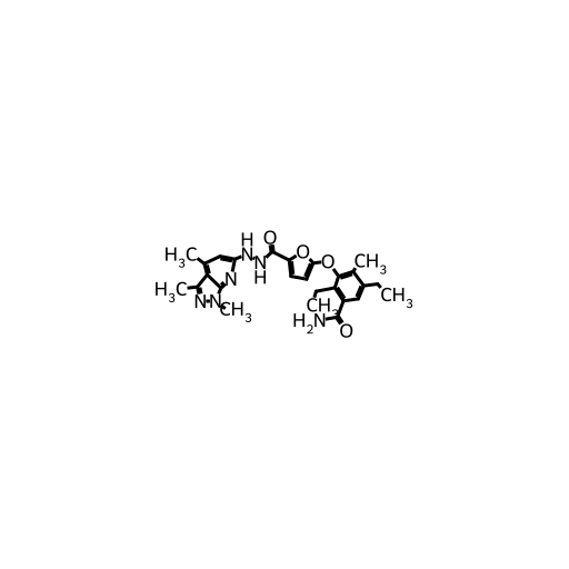 CCc1cc(C(N)=O)c(CC)c(Oc2ccc(C(=O)NNc3cc(C)c4c(C)nn(C)c4n3)o2)c1C